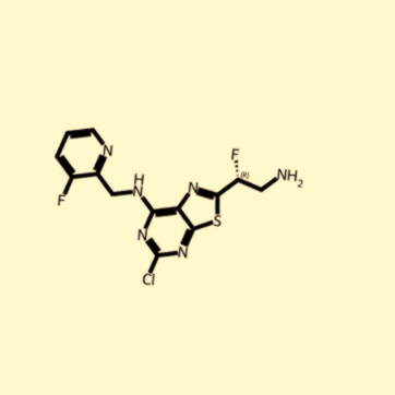 NC[C@@H](F)c1nc2c(NCc3ncccc3F)nc(Cl)nc2s1